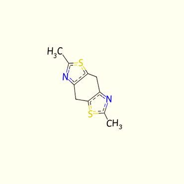 Cc1nc2c(s1)Cc1nc(C)sc1C2